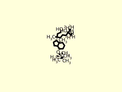 [2H]C([2H])([2H])C(O)(CCCC(C)(CCO)[C@H]1CCC2[C@@H](O[Si](C)(C)C(C)(C)C)CCC[C@@]21C)C([2H])([2H])[2H]